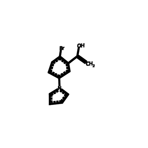 C=C(O)c1cc(-n2cccc2)ccc1Br